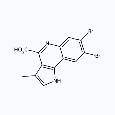 Cc1c[nH]c2c1c(C(=O)O)nc1cc(Br)c(Br)cc12